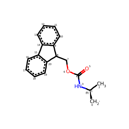 [CH2][C@H](C)NC(=O)OCC1c2ccccc2-c2ccccc21